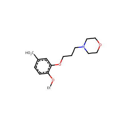 CCOc1ccc(C(=O)O)cc1OCCCN1CCOCC1